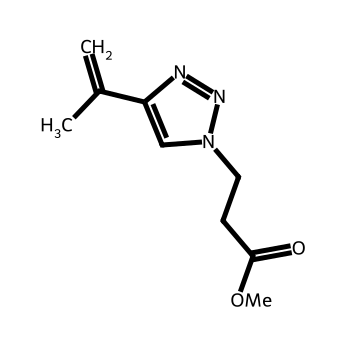 C=C(C)c1cn(CCC(=O)OC)nn1